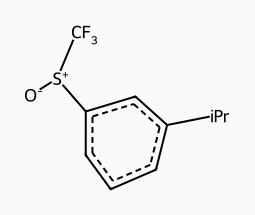 CC(C)c1cccc([S+]([O-])C(F)(F)F)c1